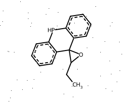 CCC1OC12c1ccccc1Pc1ccccc12